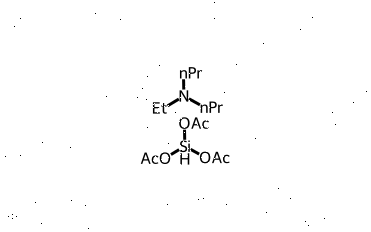 CC(=O)O[SiH](OC(C)=O)OC(C)=O.CCCN(CC)CCC